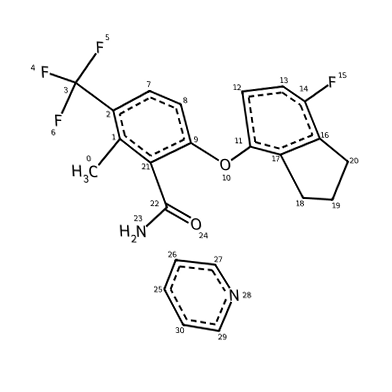 Cc1c(C(F)(F)F)ccc(Oc2ccc(F)c3c2CCC3)c1C(N)=O.c1ccncc1